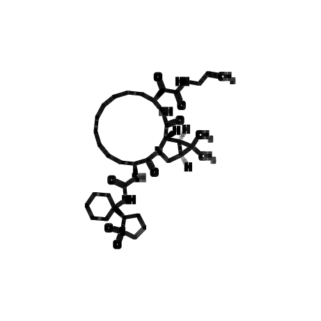 C=CCNC(=O)C(=O)[C@@H]1CCCCCCCCC[C@H](NC(=O)NC2([C@H]3CCCS3(=O)=O)CCCCC2)C(=O)N2C[C@H]3[C@@H]([C@H]2C(=O)N1)C3(C)C